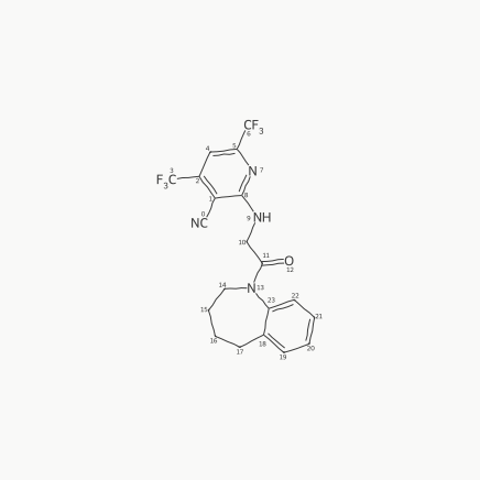 N#Cc1c(C(F)(F)F)cc(C(F)(F)F)nc1NCC(=O)N1CCCCc2ccccc21